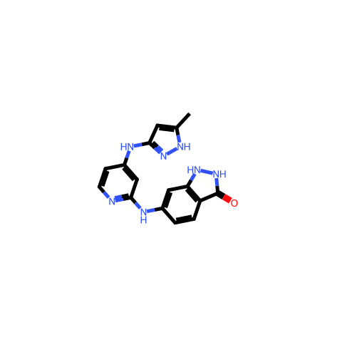 Cc1cc(Nc2ccnc(Nc3ccc4c(=O)[nH][nH]c4c3)c2)n[nH]1